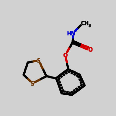 CNC(=O)Oc1ccccc1C1SCCS1